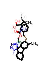 Cc1cc2c(c(Br)c1SCc1ccccc1)C1(NN=NN1CCOC(=O)N[C@H](C(=O)O)C(C)C)c1ccccc1-2